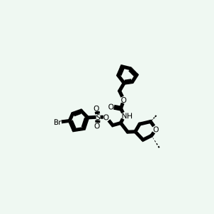 C[C@@H]1CC(CC(COS(=O)(=O)c2ccc(Br)cc2)NC(=O)OCc2ccccc2)C[C@H](C)O1